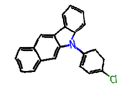 ClC1=CC=C(n2c3ccccc3c3cc4ccccc4cc32)CC1